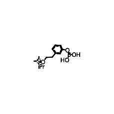 CC(C)[Si](C)(C)OCCc1cccc(OB(O)O)c1